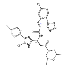 Cc1ccc(-c2nc([C@H](CC(=O)N3CC(C)OC(C)C3)NC(=O)/C=C/c3cc(Cl)ccc3-n3cnnn3)[nH]c2Cl)cc1